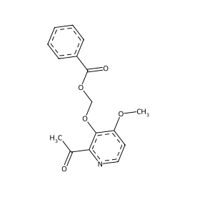 COc1ccnc(C(C)=O)c1OCOC(=O)c1ccccc1